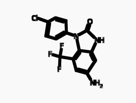 Nc1cc(C(F)(F)F)c2c(c1)[nH]c(=O)n2-c1ccc(Cl)cc1